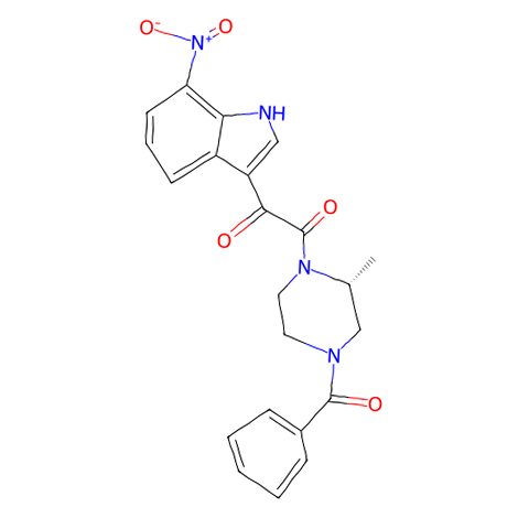 C[C@@H]1CN(C(=O)c2ccccc2)CCN1C(=O)C(=O)c1c[nH]c2c([N+](=O)[O-])cccc12